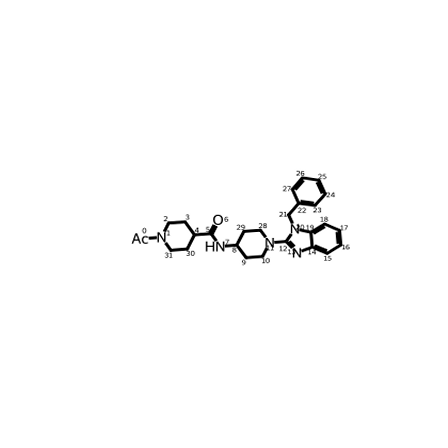 CC(=O)N1CCC(C(=O)NC2CCN(c3nc4ccccc4n3Cc3ccccc3)CC2)CC1